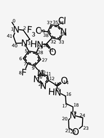 CN1CCN(c2cc(F)c(-n3cc(C(=O)NCCCN4CCOCC4)nn3)cc2NC(=O)c2cnc(Cl)cc2C(F)(F)F)CC1